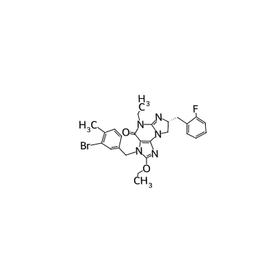 CCOc1nc2c(n1Cc1ccc(C)c(Br)c1)C(=O)N(CC)C1=N[C@H](Cc3ccccc3F)CN12